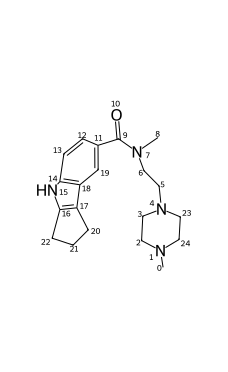 CN1CCN(CCN(C)C(=O)c2ccc3[nH]c4c(c3c2)CCC4)CC1